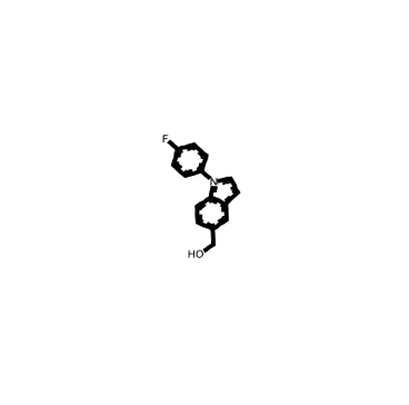 OCc1ccc2c(ccn2-c2ccc(F)cc2)c1